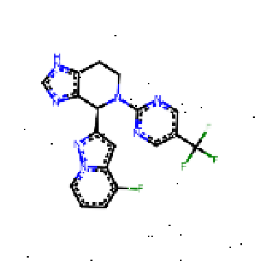 Fc1cccn2nc([C@H]3c4nc[nH]c4CCN3c3ncc(C(F)(F)F)cn3)cc12